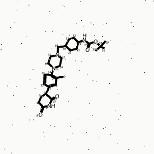 Cc1cc(C2CCC(=O)NC2=O)ccc1N1CCN(CC2CCC(NC(=O)OC(C)(C)C)CC2)CC1